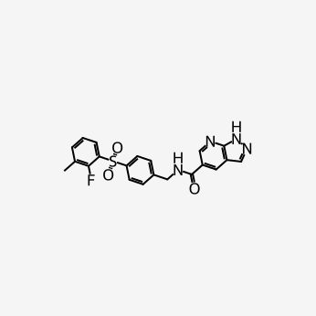 Cc1cccc(S(=O)(=O)c2ccc(CNC(=O)c3cnc4[nH]ncc4c3)cc2)c1F